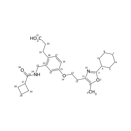 Cc1oc(C2CCCCC2)nc1CCOc1ccc(CCC(=O)O)c(CNC(=O)C2CCC2)c1